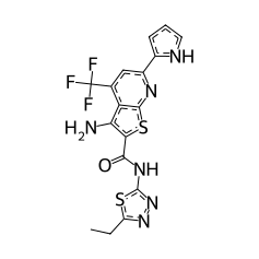 CCc1nnc(NC(=O)c2sc3nc(-c4ccc[nH]4)cc(C(F)(F)F)c3c2N)s1